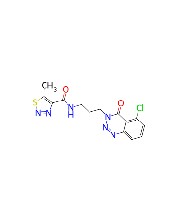 Cc1snnc1C(=O)NCCCn1nnc2cccc(Cl)c2c1=O